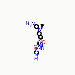 N[C@H]1CC[C@H](N(CC2CC2)C2CCc3cc(-n4ccc(NC(=O)N5CCNCC5)nc4=O)ccc3C2)CC1